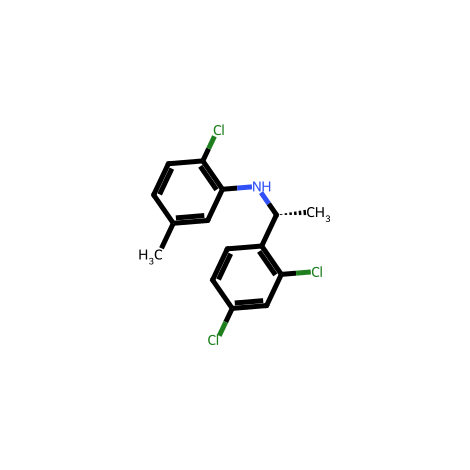 Cc1ccc(Cl)c(N[C@H](C)c2ccc(Cl)cc2Cl)c1